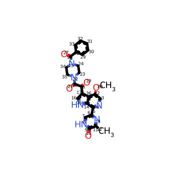 COc1cnc(-c2c[nH]c(=O)c(C)n2)c2[nH]cc(C(=O)C(=O)N3CCN(C(=O)c4ccccc4)CC3)c12